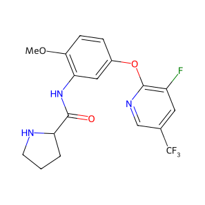 COc1ccc(Oc2ncc(C(F)(F)F)cc2F)cc1NC(=O)C1CCCN1